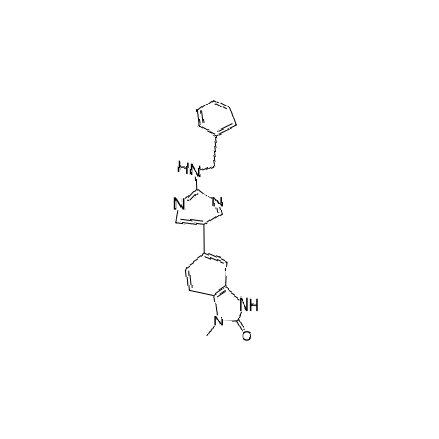 Cn1c(=O)[nH]c2cc(-c3cnc(NCc4ccccc4)nc3)ccc21